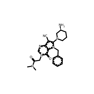 CN(C)C(=O)Cn1cnc2c(C#N)c(N3CCC[C@H](N)C3)n(Cc3ccccc3)c2c1=O